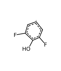 Oc1c(F)c[c]cc1F